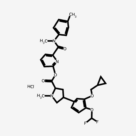 Cc1ccc(N(C)C(=O)c2cccc(OC(=O)C3CC(c4ccc(OC(F)F)c(OCC5CC5)c4)CN3C)n2)cc1.Cl